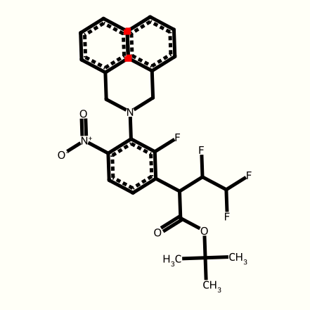 CC(C)(C)OC(=O)C(c1ccc([N+](=O)[O-])c(N(Cc2ccccc2)Cc2ccccc2)c1F)C(F)C(F)F